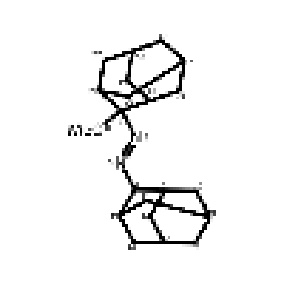 COC1(N=NC2C3CC4CC(C3)CC2C4)C2CC3CC(C2)CC1C3